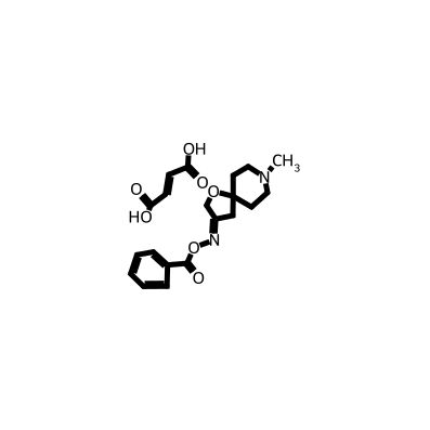 CN1CCC2(CC1)CC(=NOC(=O)c1ccccc1)CO2.O=C(O)C=CC(=O)O